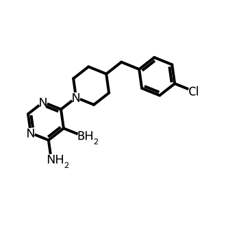 Bc1c(N)ncnc1N1CCC(Cc2ccc(Cl)cc2)CC1